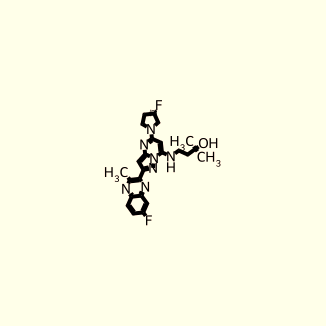 Cc1nc2ccc(F)cc2nc1-c1cc2nc(N3CC[C@@H](F)C3)cc(NCCC(C)(C)O)n2n1